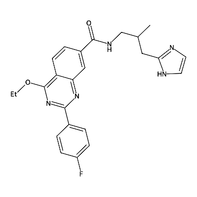 CCOc1nc(-c2ccc(F)cc2)nc2cc(C(=O)NCC(C)Cc3ncc[nH]3)ccc12